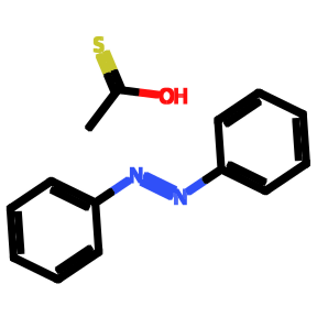 CC(O)=S.c1ccc(N=Nc2ccccc2)cc1